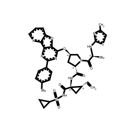 C=C[C@@H]1C[C@]1(NC(=O)[C@@H]1C[C@@H](Oc2nc(-c3ccc(C(C)(C)C)cc3)nc3c2oc2cccnc23)CN1C(=O)[C@@H](Nc1nc(C)cs1)C(C)(C)C)C(=O)NS(=O)(=O)C1CC1